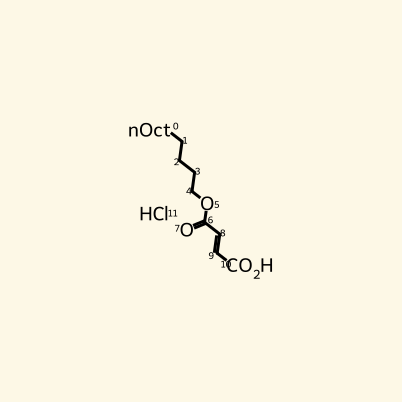 CCCCCCCCCCCCOC(=O)C=CC(=O)O.Cl